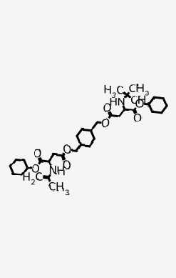 C=C(C)NC(CC(=O)OCC1CCC(COC(=O)CC(NC(C)(C)C)C(=O)OC2CCCCC2)CC1)C(=O)OC1CCCCC1